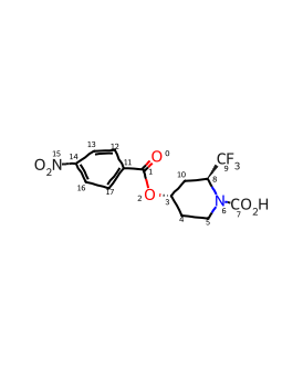 O=C(O[C@H]1CCN(C(=O)O)[C@H](C(F)(F)F)C1)c1ccc([N+](=O)[O-])cc1